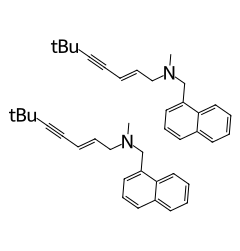 CN(C/C=C/C#CC(C)(C)C)Cc1cccc2ccccc12.CN(C/C=C/C#CC(C)(C)C)Cc1cccc2ccccc12